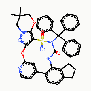 COc1cc(-c2ccc3c(c2NC(=O)N(C(c2ccccc2)(c2ccccc2)c2ccccc2)S(=N)(=O)c2cnn4c2OCC(C)(C)C4)CCC3)ccn1